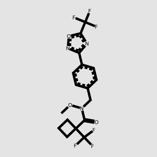 CON(Cc1ccc(-c2noc(C(F)(F)F)n2)cc1)C(=O)C1(C(F)(F)F)CCC1